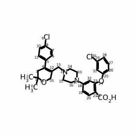 CC1(C)CC(c2ccc(Cl)cc2)=C(CN2CCN(c3ccc(C(=O)O)c(Oc4cccc(Cl)c4)c3)CC2)CO1